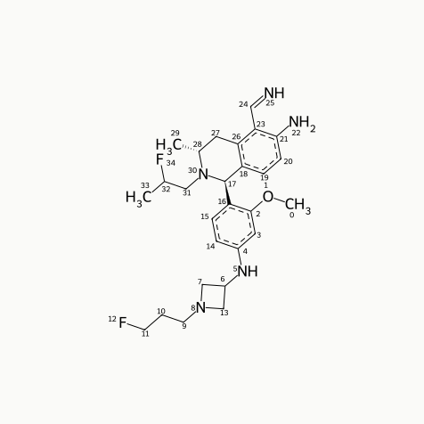 COc1cc(NC2CN(CCCF)C2)ccc1[C@@H]1c2ccc(N)c(C=N)c2C[C@@H](C)N1CC(C)F